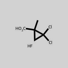 CC1(C(=O)O)CC1(Cl)Cl.F